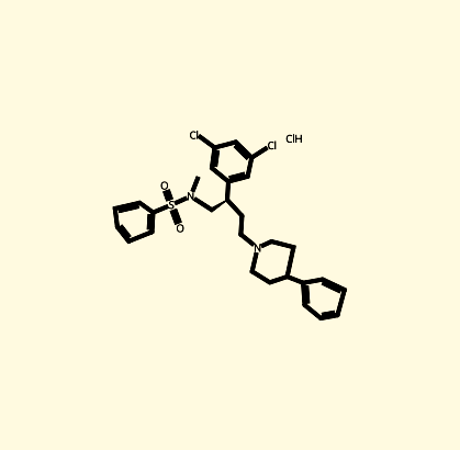 CN(C[C@H](CCN1CCC(c2ccccc2)CC1)c1cc(Cl)cc(Cl)c1)S(=O)(=O)c1ccccc1.Cl